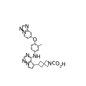 Cc1cc(Nc2ncnn3ccc(C4CC5(C4)CN(C(=O)O)C5)c23)ccc1Oc1ccn2ncnc2c1